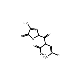 CCC(C)=CC(C(=O)OC)C(=O)C1C=C(C)C(=O)O1